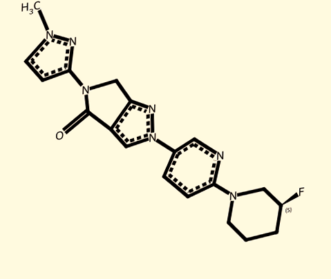 Cn1ccc(N2Cc3nn(-c4ccc(N5CCC[C@H](F)C5)nc4)cc3C2=O)n1